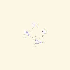 C(#Cc1ccccn1)CCc1nc2ccccc2n1CCc1ccccc1.CC(C)n1c(CCC#Cc2ccccn2)nc2ccccc21